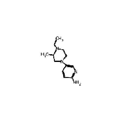 CCN1CCN(c2ccc(N)nc2)CC1C